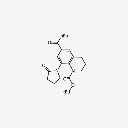 CCCCC(=O)c1cc2c(c(N3CCCC3=O)c1)N(C(=O)OC(C)(C)C)CCC2